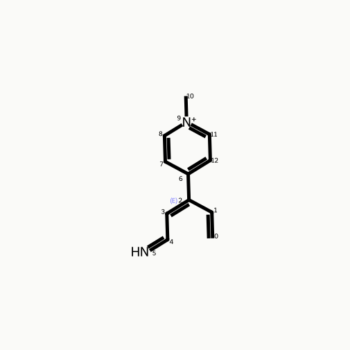 C=C/C(=C\C=N)c1cc[n+](C)cc1